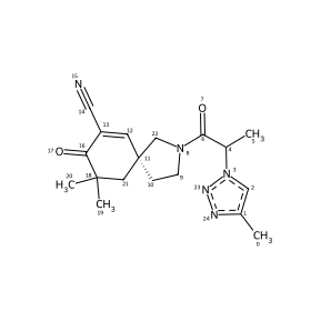 Cc1cn(C(C)C(=O)N2CC[C@]3(C=C(C#N)C(=O)C(C)(C)C3)C2)nn1